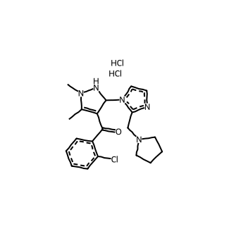 CC1=C(C(=O)c2ccccc2Cl)C(n2ccnc2CN2CCCC2)NN1C.Cl.Cl